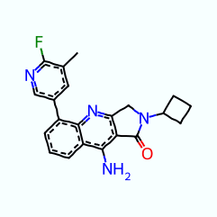 Cc1cc(-c2cccc3c(N)c4c(nc23)CN(C2CCC2)C4=O)cnc1F